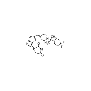 CC(C)(C1CCC(F)(F)CC1)N1CCN(Cc2ccn3ncc(N4CCC(=O)NC4=O)c3c2)CC1